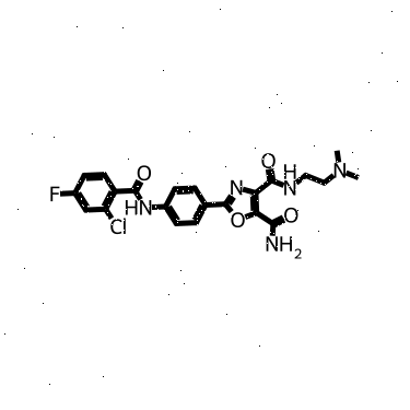 CN(C)CCNC(=O)c1nc(-c2ccc(NC(=O)c3ccc(F)cc3Cl)cc2)oc1C(N)=O